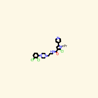 CCCn1c(-c2ccncc2)cc(C(=O)NCCCN2CCN(c3cccc(Cl)c3Cl)CC2)c1Cl